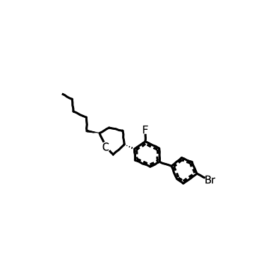 CCCCC[C@H]1CC[C@H](c2ccc(-c3ccc(Br)cc3)cc2F)CC1